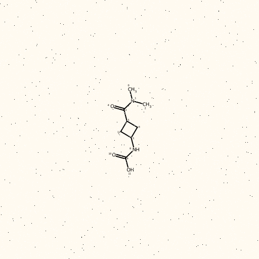 CN(C)C(=O)C1CC(NC(=O)O)C1